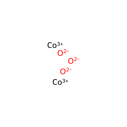 [Co+3].[Co+3].[O-2].[O-2].[O-2]